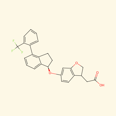 O=C(O)CC1COc2cc(O[C@@H]3CCc4c(-c5ccccc5C(F)(F)F)cccc43)ccc21